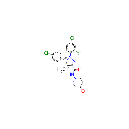 C[C@H]1C(C(=O)NN2CCC(=O)CC2)=NN(c2ccc(Cl)cc2Cl)[C@H]1c1ccc(Cl)cc1